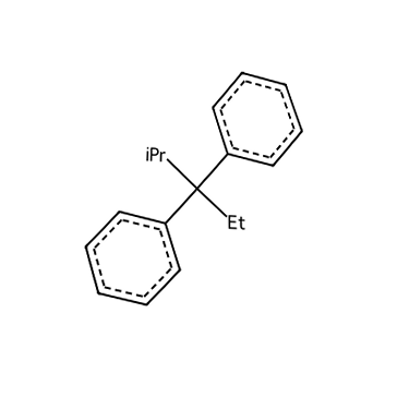 CCC(c1ccccc1)(c1ccccc1)C(C)C